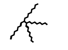 C=CCCCCC=CC(CCCCCCCC)C(C=CCCCCCC)CCCCCCCC